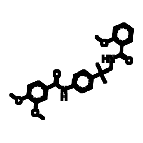 COc1ccc(C(=O)Nc2ccc(C(C)(C)CNC(=O)c3ccccc3OC)cc2)cc1OC